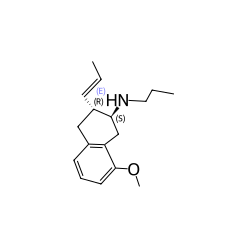 C/C=C/[C@H]1Cc2cccc(OC)c2C[C@@H]1NCCC